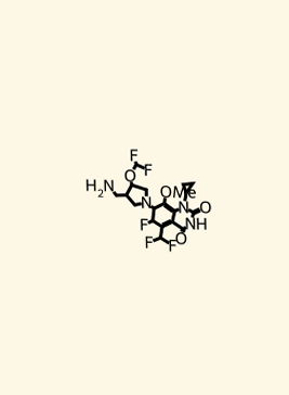 COC1=c2c(c(=O)[nH]c(=O)n2C2CC2)=C(C(F)F)C(F)C1N1CC(CN)C(OC(F)F)C1